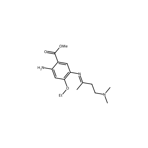 CCOc1cc(N)c(C(=O)OC)cc1/N=C(\C)CCN(C)C